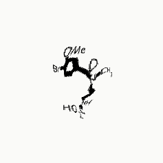 COc1cc(C(=O)N(C)CCCNC(=O)O)ccc1Br